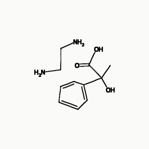 CC(O)(C(=O)O)c1ccccc1.NCCN